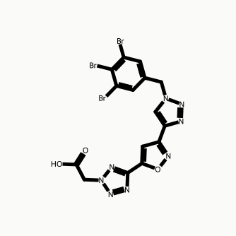 O=C(O)Cn1nnc(-c2cc(-c3cn(Cc4cc(Br)c(Br)c(Br)c4)nn3)no2)n1